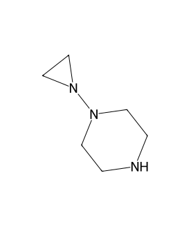 C1CN(N2CC2)CCN1